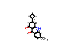 Cc1ccc2c(=O)c3c([nH]c2c1)CC(C1CCC1)CC3=O